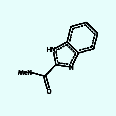 CNC(=O)c1nc2ccccc2[nH]1